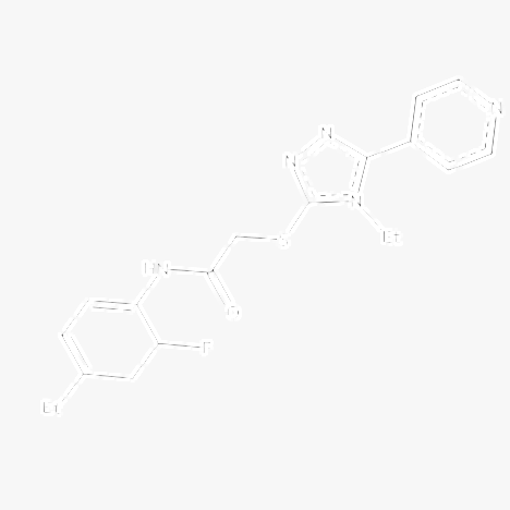 CCC1=CC=C(NC(=O)CSc2nnc(-c3ccncc3)n2CC)C(F)C1